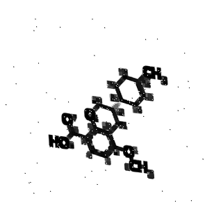 COc1ccc(C(=O)O)c2c1CC([C@H]1CC=C(C)CC1)CO2